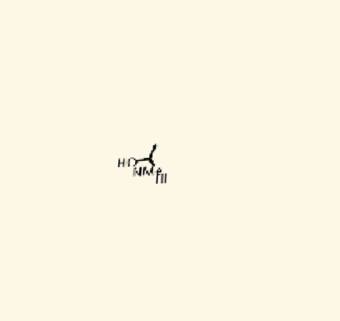 CNC(C)O.I